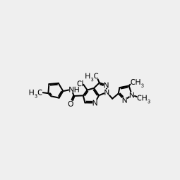 Cc1ccc(NC(=O)c2cnc3c(c(C)nn3Cc3cc(C)n(C)n3)c2Cl)cc1